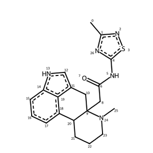 Cc1nsc(NC(=O)CC23Cc4c[nH]c5cccc(c45)C2CCCN3C)n1